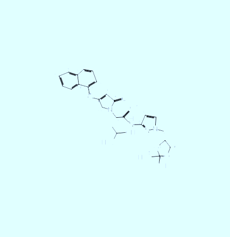 CC(C)C[C@@H](C(=O)Nc1ccn(C[C@@H]2COC(C)(C)O2)n1)N1CC(Oc2cccc3ccccc23)=CC1=O